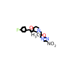 C[C@]1(CN2CCc3oc(-c4ccc(F)cc4)cc3C2)Cn2cc([N+](=O)[O-])nc2O1